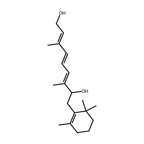 CC1=C(CC(O)/C(C)=C/C=C/C(C)=C/CO)C(C)(C)CCC1